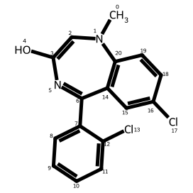 CN1C=C(O)N=C(c2ccccc2Cl)c2cc(Cl)ccc21